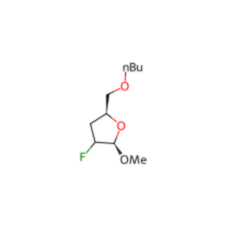 CCCCOC[C@@H]1CC(F)[C@H](OC)O1